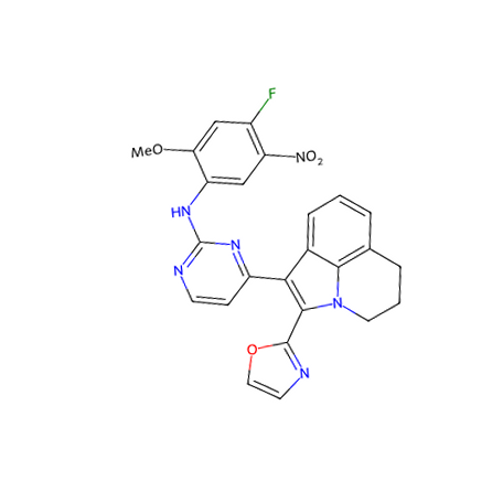 COc1cc(F)c([N+](=O)[O-])cc1Nc1nccc(-c2c(-c3ncco3)n3c4c(cccc24)CCC3)n1